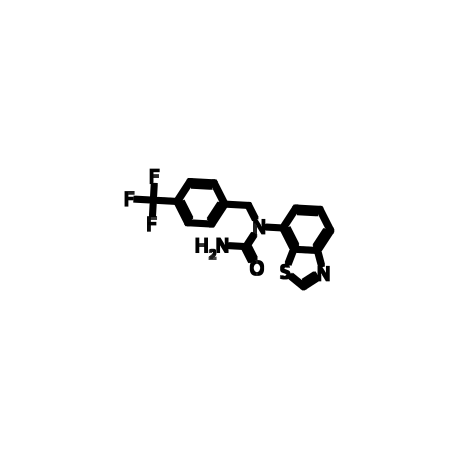 NC(=O)N(Cc1ccc(C(F)(F)F)cc1)c1cccc2ncsc12